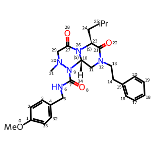 COc1ccc(CNC(=O)N2[C@H]3CN(CCc4ccccc4)C(=O)[C@H](CC(C)C)N3C(=O)CN2C)cc1